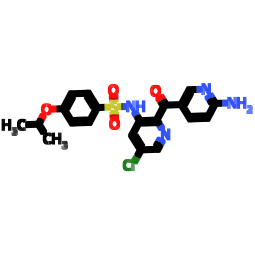 CC(C)Oc1ccc(S(=O)(=O)Nc2cc(Cl)cnc2C(=O)c2ccc(N)nc2)cc1